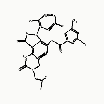 O=C(Nc1cc2c(c3c1[C@H](c1cc(F)ccc1Cl)NC3=O)NC(=O)N(CC(F)F)C2)c1cc(F)cc(C(F)(F)F)c1